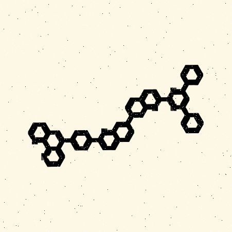 c1ccc(-c2cc(-c3ccccc3)nc(-c3ccc4ccc(-c5ccc6ccc(-c7ccc(-c8cc9cccnc9c9ncccc89)cc7)nc6c5)cc4n3)n2)cc1